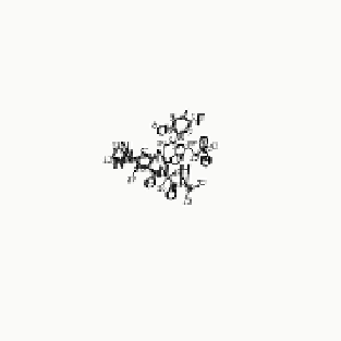 COc1ccc(F)cc1C(Cn1c(=O)n(C(C)(C)C(=O)NC(C)C)c(=O)c2c(C)c(-n3nccn3)sc21)OCCS(C)(=O)=O